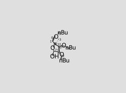 C=C[C@]1(COCCCC)OC(O)[C@H](OCCCC)[C@@H]1OCCCC